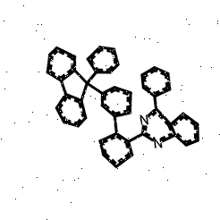 c1ccc(-c2nc(-c3ccccc3-c3cccc(C4(c5ccccc5)c5ccccc5-c5ccccc54)c3)nc3ccccc23)cc1